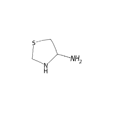 NC1CSCN1